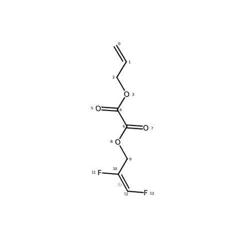 C=CCOC(=O)C(=O)OC/C(F)=C\F